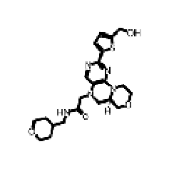 O=C(CN1C[C@@H]2COCCN2c2nc(-c3ccc(CO)s3)ncc21)NCC1CCOCC1